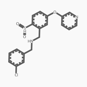 O=[SH](=O)c1ccc(Oc2cccnc2)cc1CNCc1cccc(Cl)c1